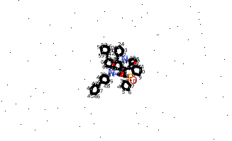 O=P1(c2ccccc2)c2ccccc2C2(c3ccccc3-n3c4ccccc4c4cccc2c43)c2cc(N(c3ccc(-c4ccccc4)cc3)c3ccc(-c4ccccc4)cc3)ccc21